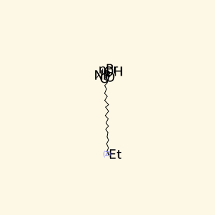 CC/C=C\CCCCCCCCCCCCCCCCCCCOP(=O)(O)C(CCC)[N+](C)(C)C